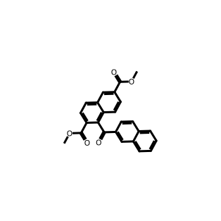 COC(=O)c1ccc2c(C(=O)c3ccc4ccccc4c3)c(C(=O)OC)ccc2c1